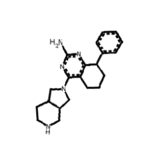 Nc1nc2c(c(N3CC4CCNCC4C3)n1)CCCC2c1ccccc1